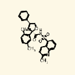 COc1ccc(C)cc1[C@@]1(C(=O)NS(=O)(=O)c2cccc3nc(C)ccc23)C[C@@H](c2ccccc2)CO1